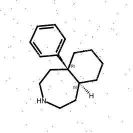 c1ccc([C@@]23CCCC[C@H]2CCNCC3)cc1